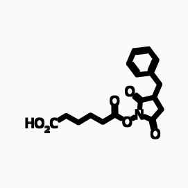 O=C(O)CCCCC(=O)ON1C(=O)CC(Cc2ccccc2)C1=O